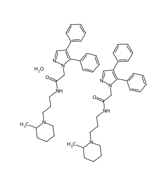 CC1CCCCN1CCCNC(=O)Cn1ncc(-c2ccccc2)c1-c1ccccc1.CC1CCCCN1CCCNC(=O)Cn1ncc(-c2ccccc2)c1-c1ccccc1.O